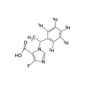 [2H]c1c([2H])c([2H])c(C(C)n2cnc(F)c2C(=O)O)c([2H])c1[2H]